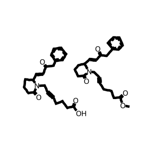 COC(=O)CCCC#CCN1C(=O)CCCC1C=CC(=O)Cc1ccccc1.O=C(O)CCCC#CCN1C(=O)CCCC1C=CC(=O)Cc1ccccc1